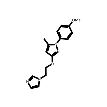 COc1ccc(-n2nc(OCCn3ccnc3)cc2C)cc1